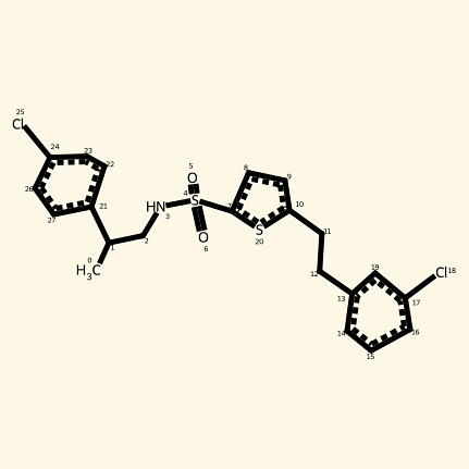 CC(CNS(=O)(=O)c1ccc(CCc2cccc(Cl)c2)s1)c1ccc(Cl)cc1